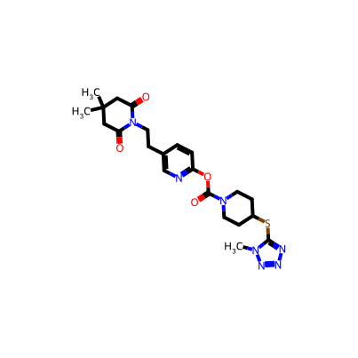 Cn1nnnc1SC1CCN(C(=O)Oc2ccc(CCN3C(=O)CC(C)(C)CC3=O)cn2)CC1